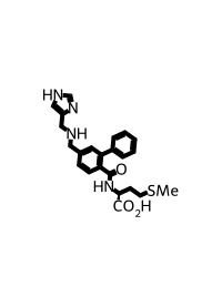 CSCC[C@H](NC(=O)c1ccc(CNCc2c[nH]cn2)cc1-c1ccccc1)C(=O)O